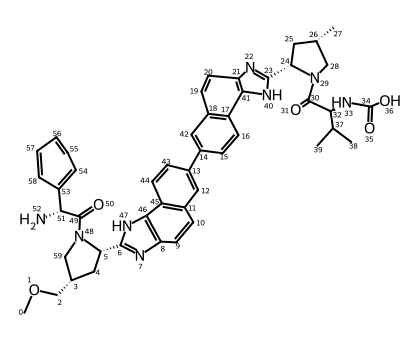 COC[C@H]1C[C@@H](c2nc3ccc4cc(-c5ccc6c(ccc7nc([C@@H]8C[C@H](C)CN8C(=O)[C@@H](NC(=O)O)C(C)C)[nH]c76)c5)ccc4c3[nH]2)N(C(=O)[C@H](N)c2ccccc2)C1